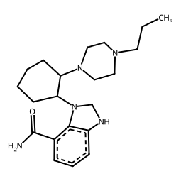 CCCN1CCN(C2CCCCC2N2CNc3cccc(C(N)=O)c32)CC1